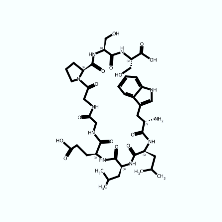 CC(C)C[C@H](NC(=O)[C@H](CC(C)C)NC(=O)[C@@H](N)Cc1c[nH]c2ccccc12)C(=O)N[C@@H](CCC(=O)O)C(=O)NCC(=O)NCC(=O)N1CCC[C@H]1C(=O)N[C@@H](CO)C(=O)N[C@@H](CO)C(=O)O